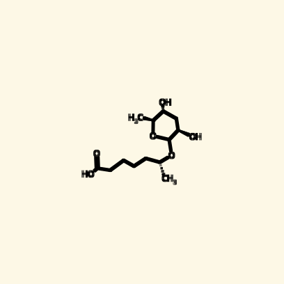 C[C@H](CCCCC(=O)O)OC1O[C@@H](C)[C@H](O)C[C@H]1O